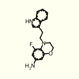 Nc1cc(F)c2c(c1)OCCN2CCc1c[nH]c2ccccc12